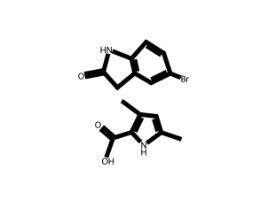 Cc1cc(C)c(C(=O)O)[nH]1.O=C1Cc2cc(Br)ccc2N1